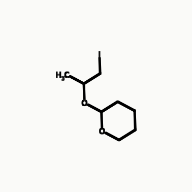 CC(CI)OC1CCCCO1